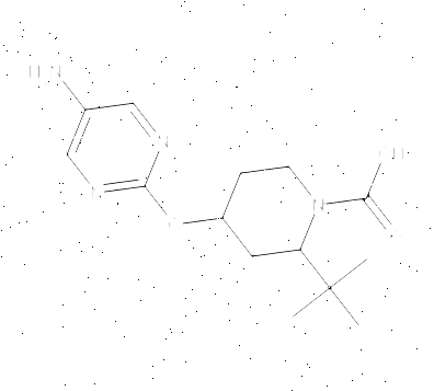 CC(C)(C)C1CC(Oc2ncc(N)cn2)CCN1C(=O)O